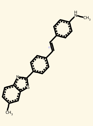 CNc1ccc(/C=C/c2ccc(-c3nc4ccc(C)cc4s3)cc2)cc1